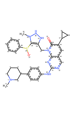 CN1CCCC(c2ccc(Nc3ncc4cc(C5CC5)c(=O)n(CC5=C([S+]([O-])c6ccccc6)N(C)NN5)c4n3)cc2)C1